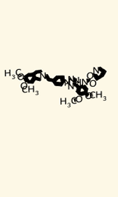 COc1cc2c(cc1OC)CN(CCc1ccc(-n3nnc(-c4cc(OC)c(OC)cc4NC(=O)Oc4ccccn4)n3)cc1)CC2